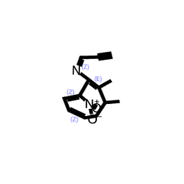 C#C\C=N/C1=C(\C)C(C)C/C=C\C=C\1[N+](=O)[O-]